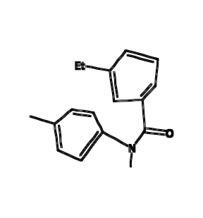 CCc1cccc(C(=O)N(C)c2ccc(C)cc2)c1